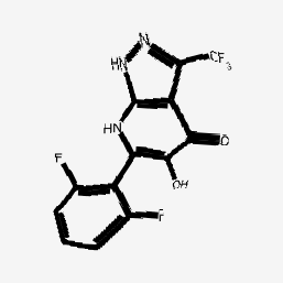 O=c1c(O)c(-c2c(F)cccc2F)[nH]c2[nH]nc(C(F)(F)F)c12